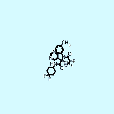 Cc1cccc(N(C(=O)[C@H](F)Cl)[C@@](C)(C(=O)NC2CCC(F)(F)CC2)c2cncnc2)c1